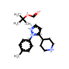 CC(C)(C)OC=O.Cc1ccc(-n2nccc2C2CCNCC2)cc1